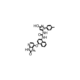 Cc1ccc(-n2nc(O)cc2NC(=O)Nc2ccc(Oc3ccnc4[nH]c(=O)n(C)c34)c3ccccc23)cc1